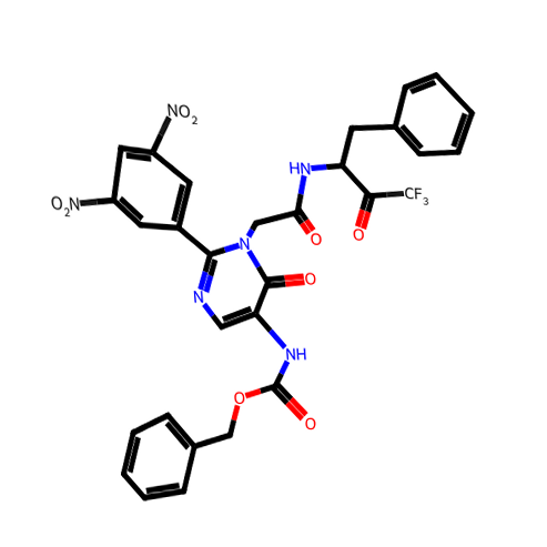 O=C(Cn1c(-c2cc([N+](=O)[O-])cc([N+](=O)[O-])c2)ncc(NC(=O)OCc2ccccc2)c1=O)NC(Cc1ccccc1)C(=O)C(F)(F)F